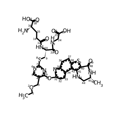 CCOCc1cnc(SC[C@H](NC(=O)CC[C@H](N)C(=O)O)C(=O)NCC(=O)O)nc1Oc1ccc2c(ccc3sc4c(c32)NC[C@@H](C)NC4=O)n1